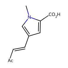 CC(=O)C=Cc1cc(C(=O)O)n(C)c1